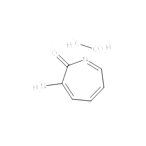 CC(=O)O.Nc1ccccnc1=O